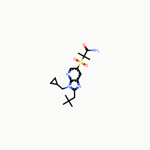 CC(C)(C)Cc1nc2cc(S(=O)(=O)C(C)(C)C(N)=O)cnc2n1CC1CC1